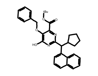 CC(C)(C)OC(=O)c1nc(C(c2cccc3ccccc23)C2CCCC2)nc(O)c1OCc1ccccc1